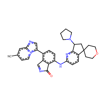 N#Cc1ccn2c(-c3ccc(Nc4ccc5c(n4)C(N4CCCC4)CC54CCOCC4)c4c3C=NC4=O)cnc2c1